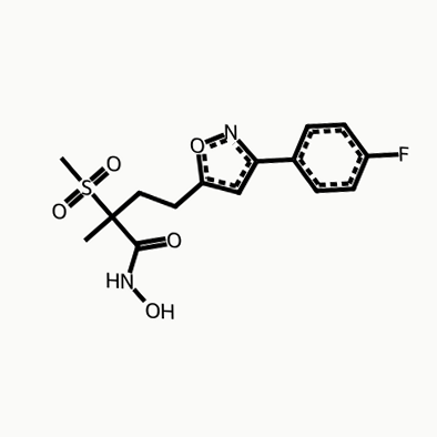 CC(CCc1cc(-c2ccc(F)cc2)no1)(C(=O)NO)S(C)(=O)=O